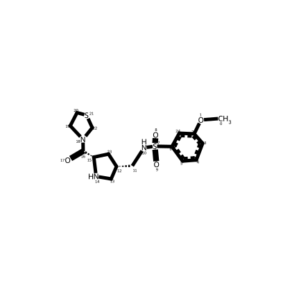 COc1cccc(S(=O)(=O)NC[C@@H]2CN[C@H](C(=O)N3CCSC3)C2)c1